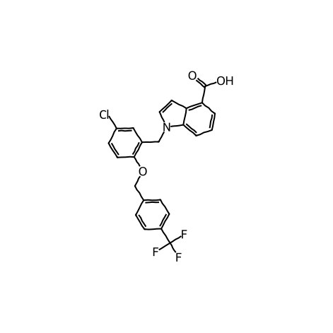 O=C(O)c1cccc2c1ccn2Cc1cc(Cl)ccc1OCc1ccc(C(F)(F)F)cc1